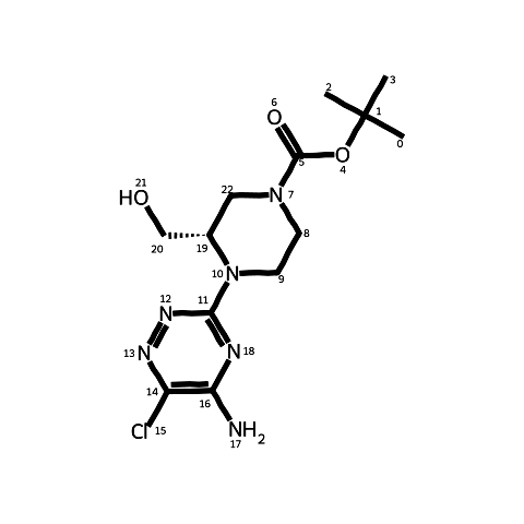 CC(C)(C)OC(=O)N1CCN(c2nnc(Cl)c(N)n2)[C@H](CO)C1